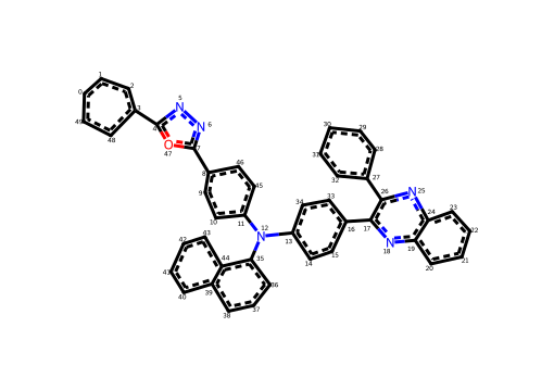 c1ccc(-c2nnc(-c3ccc(N(c4ccc(-c5nc6ccccc6nc5-c5ccccc5)cc4)c4cccc5ccccc45)cc3)o2)cc1